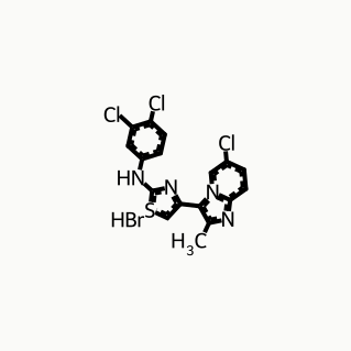 Br.Cc1nc2ccc(Cl)cn2c1-c1csc(Nc2ccc(Cl)c(Cl)c2)n1